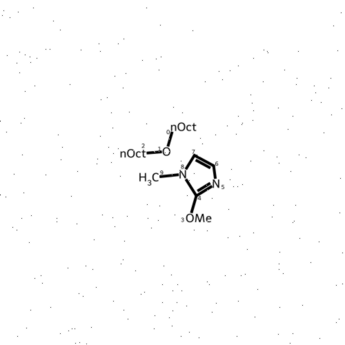 CCCCCCCCOCCCCCCCC.COc1nccn1C